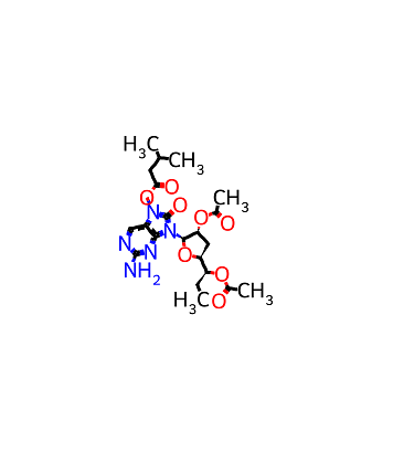 CC[C@H](OC(C)=O)[C@@H]1C[C@@H](OC(C)=O)[C@H](n2c(=O)n(OC(=O)CC(C)C)c3cnc(N)nc32)O1